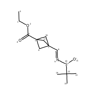 CCOC(=O)C12CC(/C=N/[S+]([O-])C(C)(C)C)(C1)C2